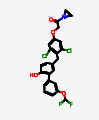 O=C(COc1cc(Cl)c(Cc2ccc(O)c(-c3cccc(OC(F)F)c3)c2)c(Cl)c1)N1CC1